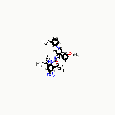 COc1cccc(C2(CNC(=O)Nc3c(C(C)C)cc(N)cc3C(C)C)CCN(c3cccc(C)c3)CC2)c1